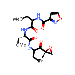 COCC(NC(=O)c1ccon1)C(=O)N[C@@H](COC)C(=O)NC(CC(C)C)C(=O)[C@@]1(C)CO1